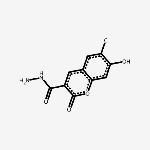 NNC(=O)c1cc2cc(Cl)c(O)cc2oc1=O